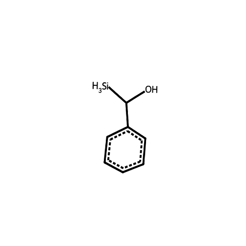 OC([SiH3])c1ccccc1